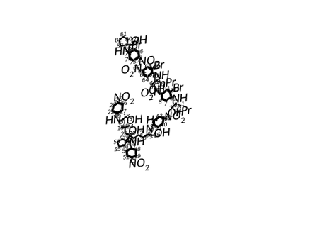 CC(C)C[C@@H](CO)Nc1ccc([N+](=O)[O-])cc1Br.CC(C[C@@H](CO)Nc1ccc([N+](=O)[O-])cc1)C[C@@](O)(CCCC(CO)Nc1ccc([N+](=O)[O-])cc1)C1(Nc2ccc([N+](=O)[O-])cc2)CCCC1.CCC[C@@H](CO)Nc1ccc([N+](=O)[O-])cc1Br.O=[N+]([O-])c1ccc(NC2(CO)CCCC2)c(Br)c1